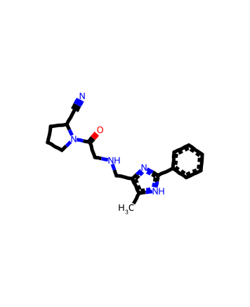 Cc1[nH]c(-c2ccccc2)nc1CNCC(=O)N1CCCC1C#N